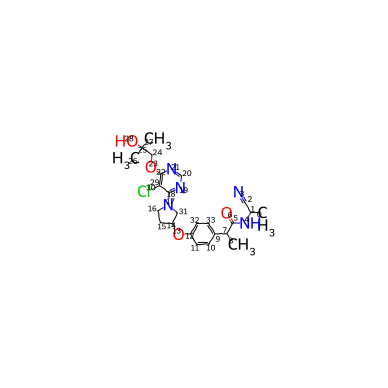 CC(C#N)NC(=O)C(C)c1ccc(OC2CCN(c3ncnc(OCC(C)(C)O)c3Cl)C2)cc1